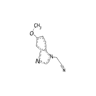 COc1ccc2c(c1)ncn2CC#N